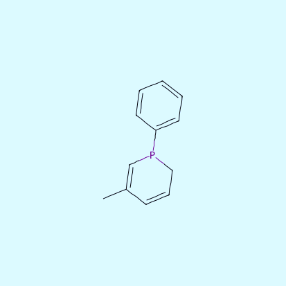 CC1=CP(c2ccccc2)CC=C1